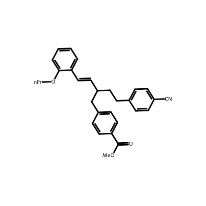 CCCOc1ccccc1C=CC(CCc1ccc(C#N)cc1)Cc1ccc(C(=O)OC)cc1